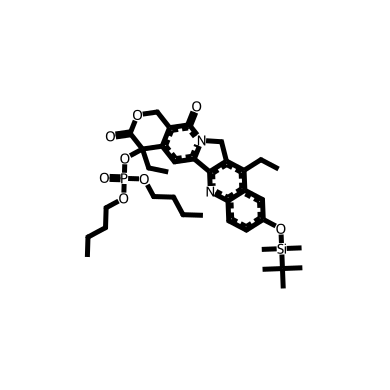 CCCCOP(=O)(OCCCC)OC1(CC)C(=O)OCc2c1cc1n(c2=O)Cc2c-1nc1ccc(O[Si](C)(C)C(C)(C)C)cc1c2CC